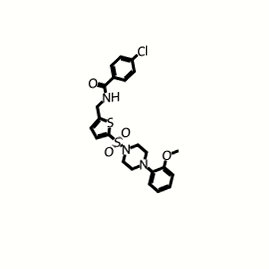 COc1ccccc1N1CCN(S(=O)(=O)c2ccc(CNC(=O)c3ccc(Cl)cc3)s2)CC1